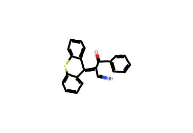 N=CC(C(=O)c1ccccc1)=C1c2ccccc2Sc2ccccc21